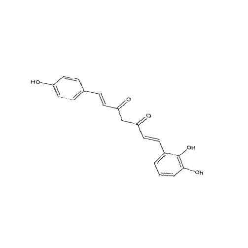 O=C(/C=C/c1ccc(O)cc1)CC(=O)/C=C/c1cccc(O)c1O